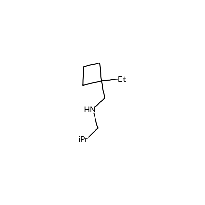 CCC1(CNCC(C)C)CCC1